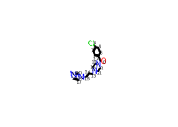 O=C(c1ccc(Cl)cc1)N1CCN(CCCn2ccnc2)CC1